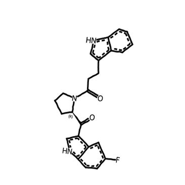 O=C(c1c[nH]c2ccc(F)cc12)[C@H]1CCCN1C(=O)CCc1c[nH]c2ccccc12